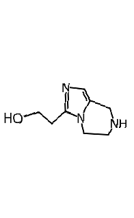 OCCc1ncc2n1CCNC2